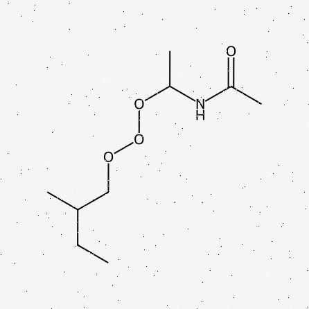 CCC(C)COOOC(C)NC(C)=O